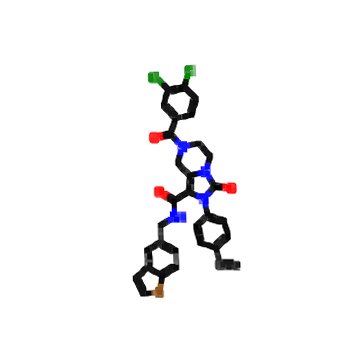 COc1ccc(-n2c(C(=O)NCc3ccc4sccc4c3)c3n(c2=O)CCN(C(=O)c2ccc(Cl)c(Cl)c2)C3)cc1